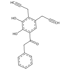 C#CCc1cc(C(=O)Cc2ccccc2)c(O)c(O)c1CC#C